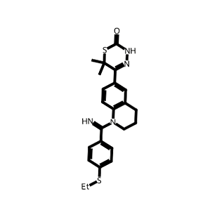 CCSc1ccc(C(=N)N2CCCc3cc(C4=NNC(=O)SC4(C)C)ccc32)cc1